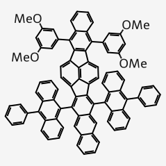 COc1cc(OC)cc(-c2c3c(c(-c4cc(OC)cc(OC)c4)c4ccccc24)-c2ccc4c5c(ccc-3c25)-c2c-4c(-c3c4ccccc4c(-c4ccccc4)c4ccccc34)c3cc4ccccc4cc3c2-c2c3ccccc3c(-c3ccccc3)c3ccccc23)c1